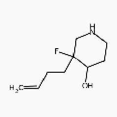 C=CCCC1(F)CNCCC1O